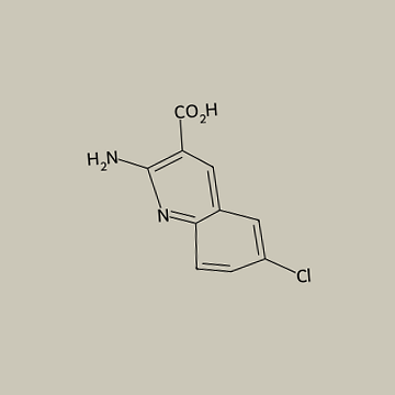 Nc1nc2ccc(Cl)cc2cc1C(=O)O